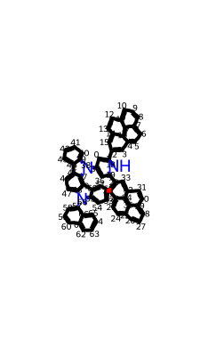 C1=C(c2cc3ccc4cccc5ccc(c2)c3c45)NC(c2cc3ccc4cccc5ccc(c2)c3c45)C=C1n1c2ccccc2c2ccc3c(c4ccccc4n3-c3cccc4ccccc34)c21